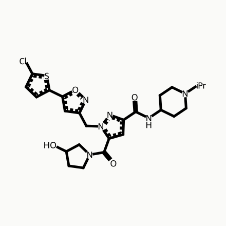 CC(C)N1CCC(NC(=O)c2cc(C(=O)N3CCC(O)C3)n(Cc3cc(-c4ccc(Cl)s4)on3)n2)CC1